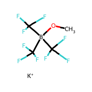 CO[B-](C(F)(F)F)(C(F)(F)F)C(F)(F)F.[K+]